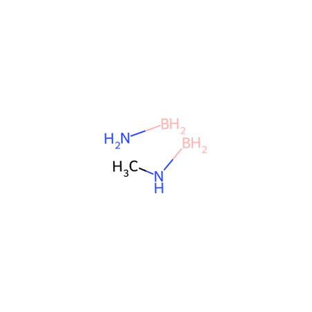 BN.BNC